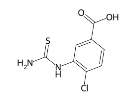 NC(=S)Nc1cc(C(=O)O)ccc1Cl